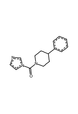 O=C(N1CCC(c2ccccc2)CC1)n1ccnc1